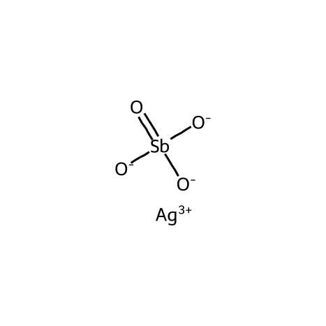 [Ag+3].[O]=[Sb]([O-])([O-])[O-]